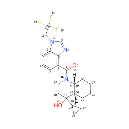 O=C(c1cccc2c1ncn2CC(F)(F)F)N1CCC(O)(C2CC2)[C@H]2CCCC[C@H]21